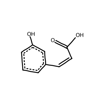 O=C(O)/C=C\c1cccc(O)c1